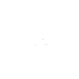 C=CCC1C(O)CN[C@H]1C(=O)O